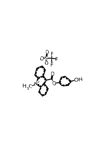 C[n+]1c2ccccc2c(C(=O)Oc2ccc(O)cc2)c2ccccc21.O=S(=O)([O-])C(F)(F)F